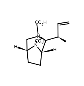 C=C[C@@H](C)[C@H]1[C@@H]2CC[C@H](CN1C(=O)O)N2C(=O)O